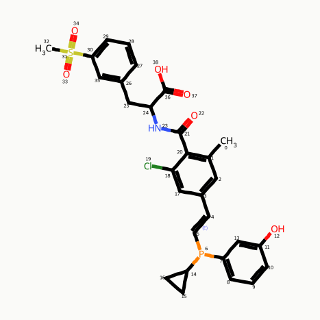 Cc1cc(/C=C/P(c2cccc(O)c2)C2CC2)cc(Cl)c1C(=O)NC(Cc1cccc(S(C)(=O)=O)c1)C(=O)O